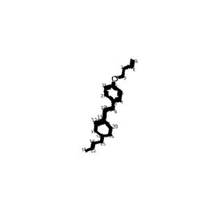 CCCCOc1ccc(CCC2=CCC(CCCC)CC2)cc1